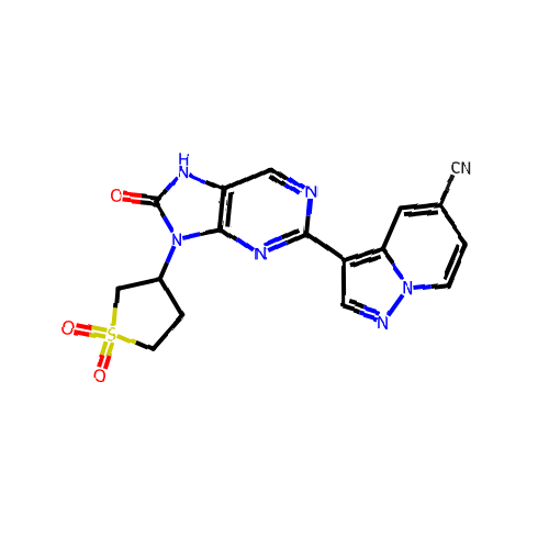 N#Cc1ccn2ncc(-c3ncc4[nH]c(=O)n(C5CCS(=O)(=O)C5)c4n3)c2c1